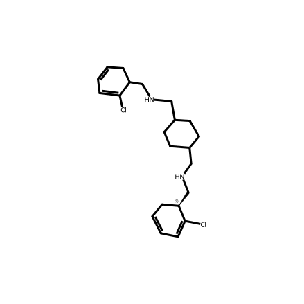 ClC1=CC=CCC1CNCC1CCC(CNC[C@@H]2CC=CC=C2Cl)CC1